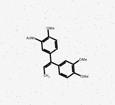 CC=C(c1ccc(OC)c(NC(C)=O)c1)c1ccc(OC)c(OC)c1